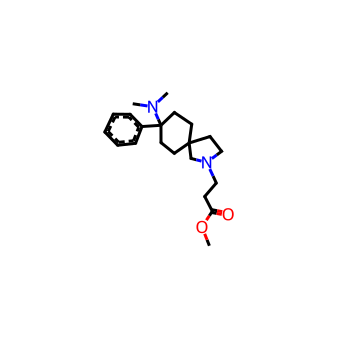 COC(=O)CCN1CCC2(CCC(c3ccccc3)(N(C)C)CC2)C1